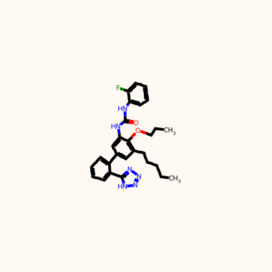 CCCCCc1cc(-c2ccccc2-c2nnn[nH]2)cc(NC(=O)Nc2ccccc2F)c1OCCC